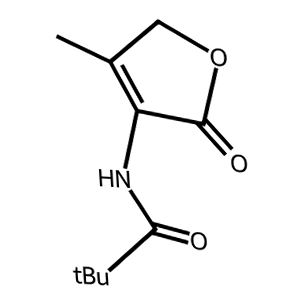 CC1=C(NC(=O)C(C)(C)C)C(=O)OC1